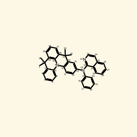 CC1(C)c2ccccc2N2c3ccc(N(c4ccccc4)c4nccc5ccccc45)cc3C(C)(C)c3cccc1c32